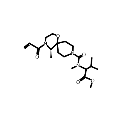 C=CC(=O)N1CCOC2(CCN(C(=O)N(C)C(C(=O)OC)C(C)C)CC2)[C@H]1C